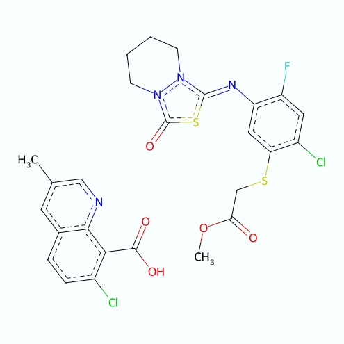 COC(=O)CSc1cc(/N=c2\sc(=O)n3n2CCCC3)c(F)cc1Cl.Cc1cnc2c(C(=O)O)c(Cl)ccc2c1